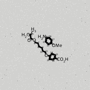 C=C(C)C(=O)OCCCCCCOc1ccc(C(=O)O)cc1.COc1ccc(N)cc1